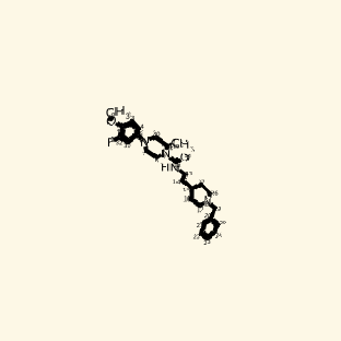 COc1ccc(N2CCN(C(=O)NCCC3CCN(Cc4ccccc4)CC3)[C@H](C)C2)cc1F